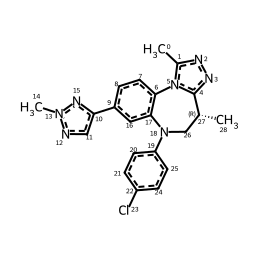 Cc1nnc2n1-c1ccc(-c3cnn(C)n3)cc1N(c1ccc(Cl)cc1)C[C@H]2C